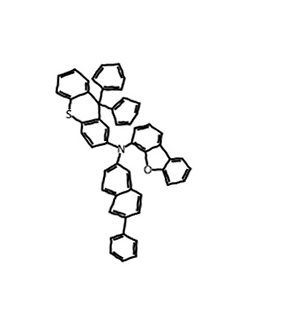 c1ccc(-c2ccc3cc(N(c4ccc5c(c4)C(c4ccccc4)(c4ccccc4)c4ccccc4S5)c4cccc5c4oc4ccccc45)ccc3c2)cc1